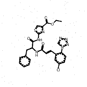 CCOC(=O)c1csc(NC(=O)C(Cc2ccccc2)NC(=O)C=Cc2cc(Cl)ccc2-n2cnnn2)n1